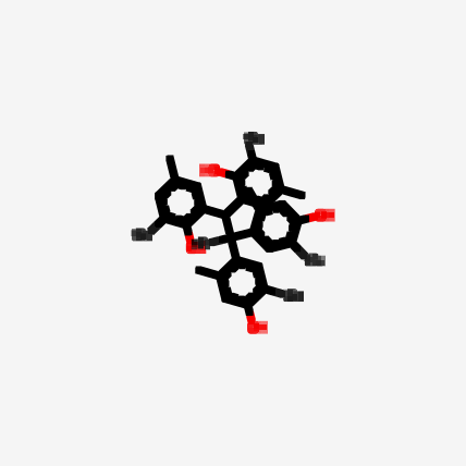 CCCC(c1cc(C(C)(C)C)c(O)cc1C)(c1cc(C(C)(C)C)c(O)cc1C)C(c1cc(C)cc(C(C)(C)C)c1O)c1cc(C)cc(C(C)(C)C)c1O